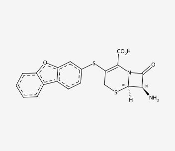 N[C@@H]1C(=O)N2C(C(=O)O)=C(Sc3ccc4c(c3)oc3ccccc34)CS[C@H]12